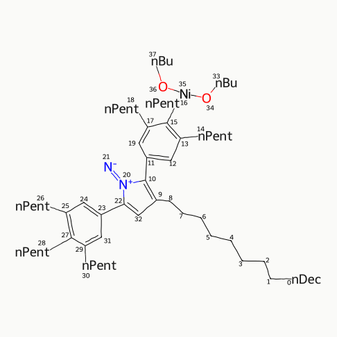 CCCCCCCCCCCCCCCCCCC1=C(c2cc(CCCCC)c(CCCCC)c(CCCCC)c2)[N+](=[N-])C(c2cc(CCCCC)c(CCCCC)c(CCCCC)c2)=C1.CCCC[O][Ni][O]CCCC